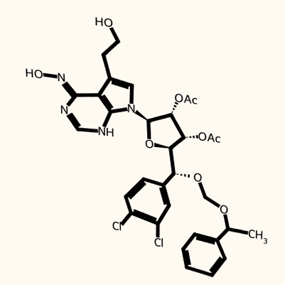 CC(=O)O[C@H]1[C@@H](OC(C)=O)[C@H](n2cc(CCO)c3/c(=N/O)nc[nH]c32)O[C@@H]1[C@H](OCOC(C)c1ccccc1)c1ccc(Cl)c(Cl)c1